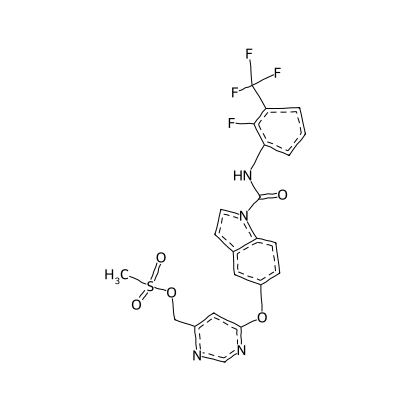 CS(=O)(=O)OCc1cc(Oc2ccc3c(ccn3C(=O)Nc3cccc(C(F)(F)F)c3F)c2)ncn1